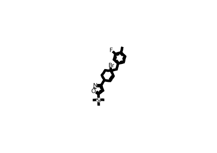 Cc1ccc(CC2(Br)C=CC(c3cc([Si](C)(C)C)on3)CC2)cc1F